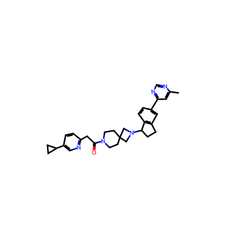 Cc1cc(-c2ccc3c(c2)CCC3N2CC3(CCN(C(=O)Cc4ccc(C5CC5)cn4)CC3)C2)ncn1